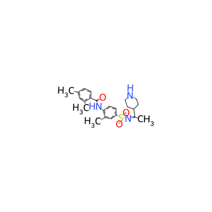 C/C(=N/S(=O)(=O)c1ccc(NC(=O)c2ccc(C)cc2C)c(C)c1)C1CCNCC1